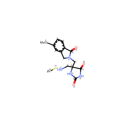 COc1ccc2c(c1)CN(CC1(CNSC(C)C)NC(=O)NC1=O)C2=O